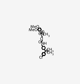 COc1ccc(S(=O)(=O)N(C)CCOCC(=O)NCC2CCC(C(c3ccc(Cl)cc3)N(C)C)CC2)cc1OC